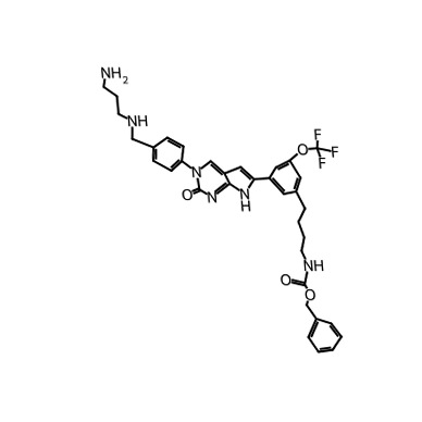 NCCCNCc1ccc(-n2cc3cc(-c4cc(CCCCNC(=O)OCc5ccccc5)cc(OC(F)(F)F)c4)[nH]c3nc2=O)cc1